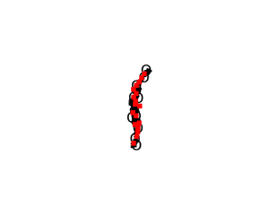 CC1c2cc(OC(=O)c3ccc(OCCCCOCC4(C)CO4)cc3)ccc2-c2ccc(OC(=O)c3ccc(OCCCCOCC4(C)CO4)cc3)cc21